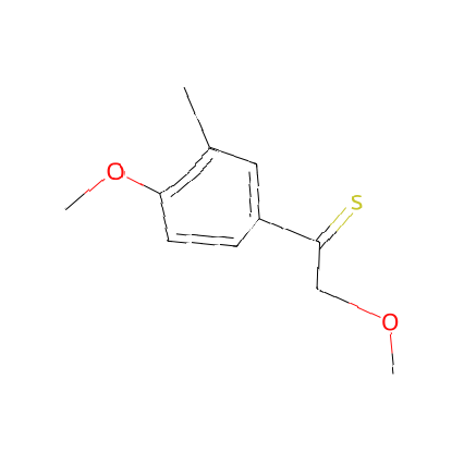 COCC(=S)c1ccc(OC)c(C)c1